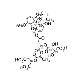 COc1ccc(C)c2c1O[C@H]1C(OC(=O)C[C@H](OC(=O)[C@H](O)[C@@H](O)C(=O)O)C(=O)O[C@@H](C)C(=O)O[C@H](CC(=O)O)C(=O)O)=CC[C@@]3(O)[C@@H](C)N(C)CC[C@]213